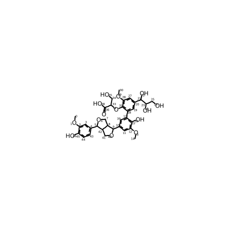 COc1cc(C2OCC3C(c4cc(OC)c(O)c(-c5cc(C(O)C(O)CO)cc(OC)c5OC(CO)C(=O)O)c4)OCC23)ccc1O